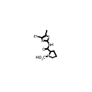 CCc1nc(NC(=O)C2CCCN2C(=O)O)sc1C